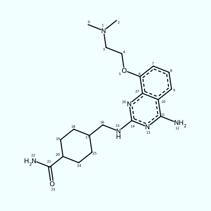 CN(C)CCOc1cccc2c(N)nc(NCC3CCC(C(N)=O)CC3)nc12